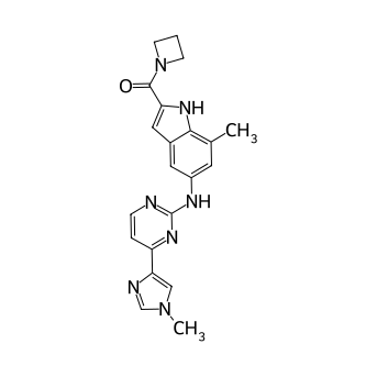 Cc1cc(Nc2nccc(-c3cn(C)cn3)n2)cc2cc(C(=O)N3CCC3)[nH]c12